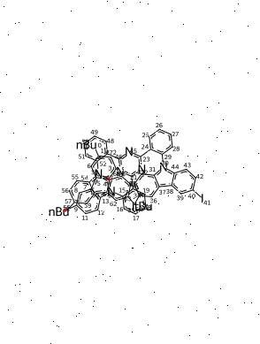 CCCCc1ccc2c(c1)c1cc(C)ccc1n2-c1ccccc1-c1nc(-c2ccccc2-n2c3ccc(I)cc3c3cc(I)ccc32)nc(-c2ccccc2-n2c3ccc(CCCC)cc3c3cc(C(C)(C)C)ccc32)n1